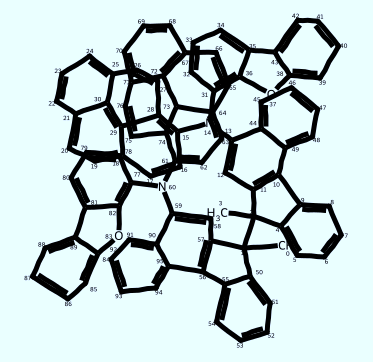 CC1(C2(C)c3ccccc3-c3c2cc(N(c2ccc4ccc5cccc6ccc2c4c56)c2cccc4c2oc2ccccc24)c2ccccc32)c2ccccc2-c2c1cc(N(C1=CC=C3C=Cc4cccc5c4C3C1C=C5)c1cccc3c1oc1ccccc13)c1ccccc21